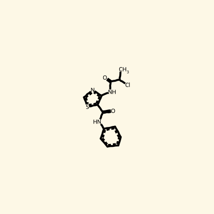 CC(Cl)C(=O)Nc1ncsc1C(=O)Nc1ccccc1